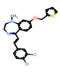 CN1CCN=C(/C=C/c2ccc(Cl)c(Cl)c2)c2ccc(OCc3cccs3)cc21